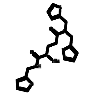 CCCCN(CCC(=O)N(Cc1cccs1)Cc1cccs1)C(=O)NCc1cccs1